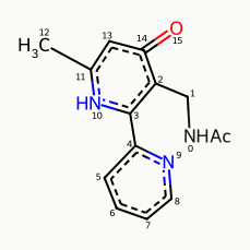 CC(=O)NCc1c(-c2ccccn2)[nH]c(C)cc1=O